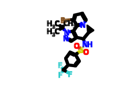 CC(C)(C)n1ncc(C(NS(=O)(=O)C2=CCC(C(F)(F)F)C=C2)C2CC2)c1-c1ncccc1Br